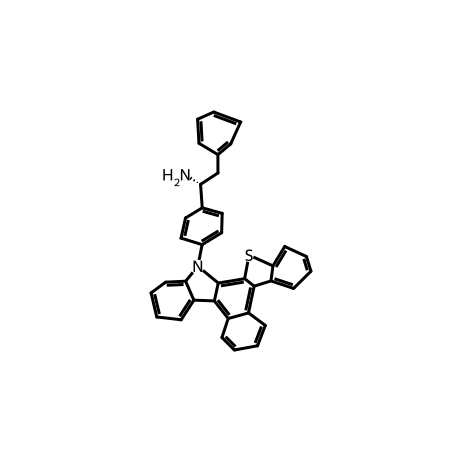 N[C@H](Cc1ccccc1)c1ccc(-n2c3ccccc3c3c4ccccc4c4c5ccccc5sc4c32)cc1